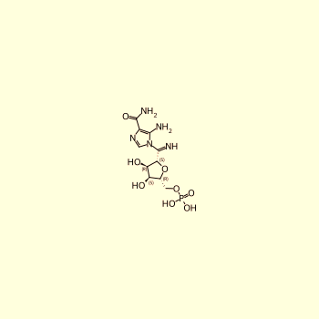 N=C([C@@H]1O[C@H](COP(=O)(O)O)[C@@H](O)[C@H]1O)n1cnc(C(N)=O)c1N